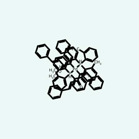 Cc1ccccc1[PH](c1ccccc1C)(c1ccccc1C)[Pd]([C](=Cc1ccccc1)C(=O)C=Cc1ccccc1)([C](=Cc1ccccc1)C(=O)C=Cc1ccccc1)[PH](c1ccccc1C)(c1ccccc1C)c1ccccc1C